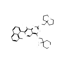 CN(C)C1(CNc2nc(OCC34CCCN3CCC4)nc3c(P)c(-c4cccc5cccc(F)c45)ncc23)CCOCC1